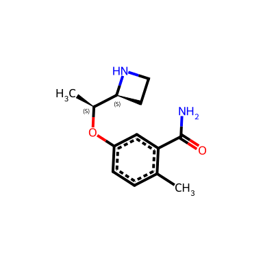 Cc1ccc(O[C@@H](C)[C@@H]2CCN2)cc1C(N)=O